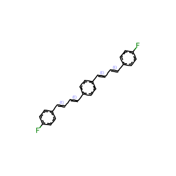 Fc1ccc(/C=C/C=C/c2ccc(/C=C/C=C/c3ccc(F)cc3)cc2)cc1